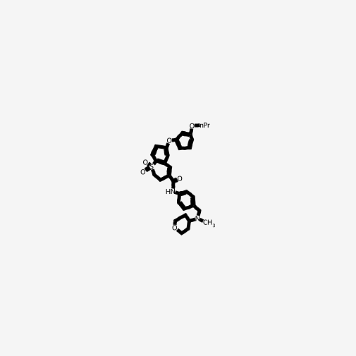 CCCOc1cccc(Oc2ccc3c(c2)C=C(C(=O)Nc2ccc(CN(C)C4CCOCC4)cc2)CCS3(=O)=O)c1